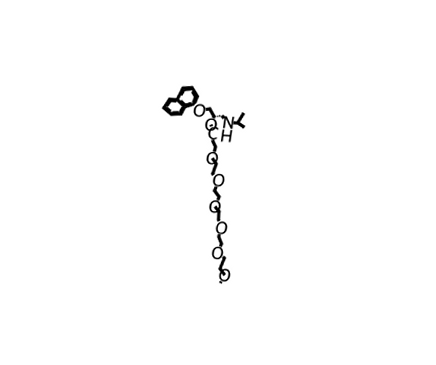 COCCOCCOCCOCCOCCOCCCO[C@@H](CNC(C)C)COc1cccc2ccccc12